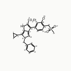 CCOC(=O)c1[nH]c2c(C3CC3)n(Cc3ccccc3)nc2c1-c1ccc(CS(C)(=O)=O)c(Cl)c1